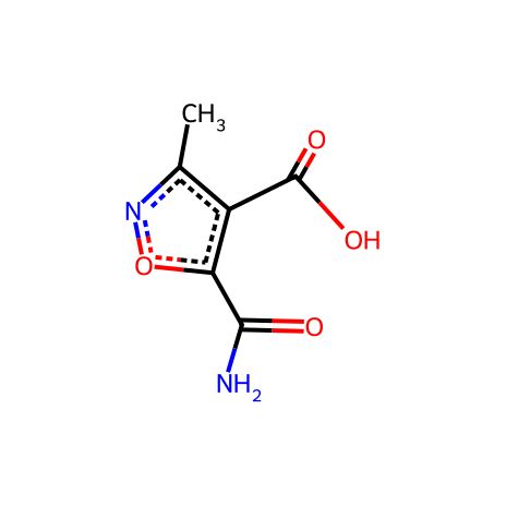 Cc1noc(C(N)=O)c1C(=O)O